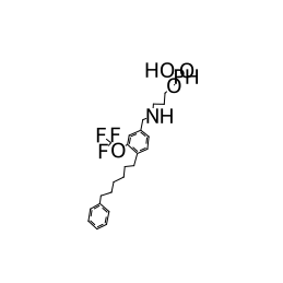 O=[PH](O)OCCCNCc1ccc(CCCCCCc2ccccc2)c(OC(F)(F)F)c1